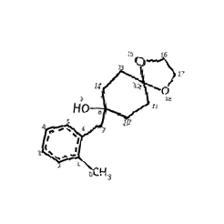 Cc1ccccc1CC1(O)CCC2(CC1)OCCO2